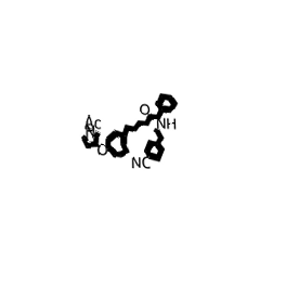 CC(=O)N1CC[C@@H](OC2=C/CC/C=C(CCCCC(=O)[C@@H](NCCc3ccc(C#N)cc3)c3ccccc3)/C=C\2)C1